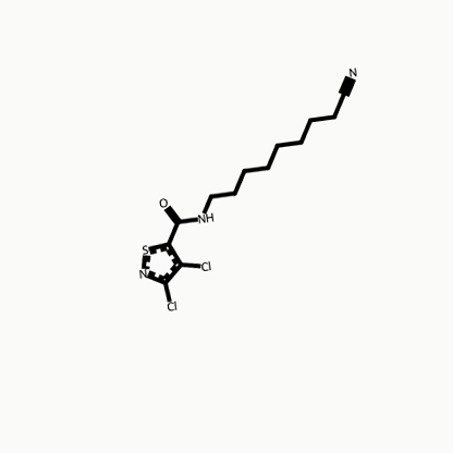 N#CCCCCCCCCNC(=O)c1snc(Cl)c1Cl